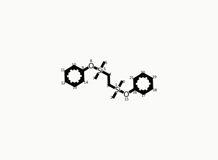 C[Si](C)(CC[Si](C)(C)Oc1ccccc1)Oc1ccccc1